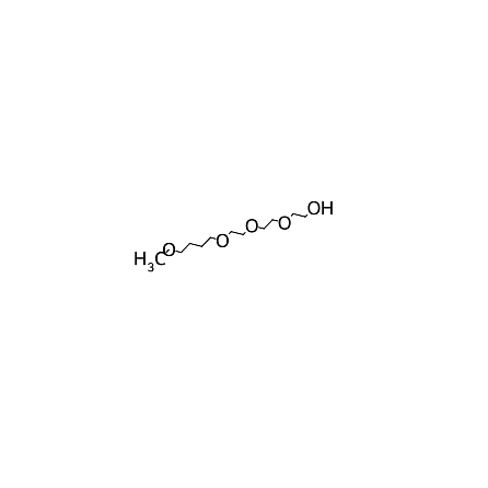 COCCCCOCCOCCOCCO